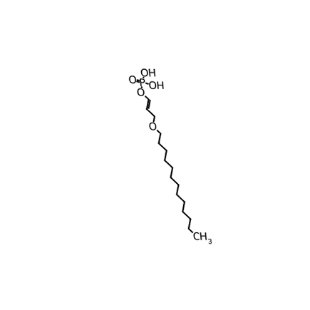 CCCCCCCCCCCCCOCC=COP(=O)(O)O